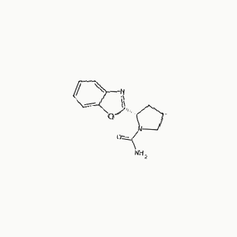 NC(=O)N1C[CH]C[C@H]1c1nc2ccccc2o1